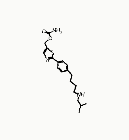 CC(C)CNCCCCc1ccc(-c2ncc(COC(N)=O)s2)cc1